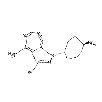 Nc1ncnc2c1c(Br)nn2[C@H]1CC[C@H](N)CC1